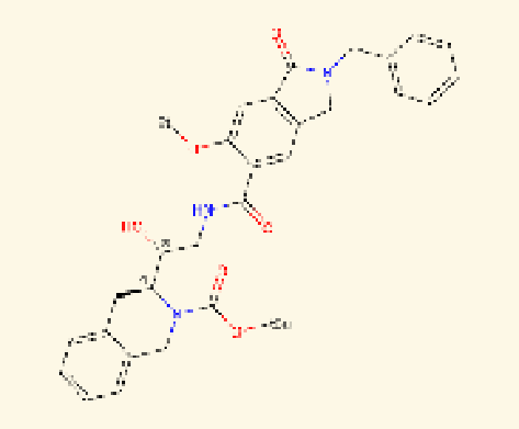 CCOc1cc2c(cc1C(=O)NC[C@@H](O)[C@@H]1Cc3ccccc3CN1C(=O)OC(C)(C)C)CN(Cc1ccccc1)C2=O